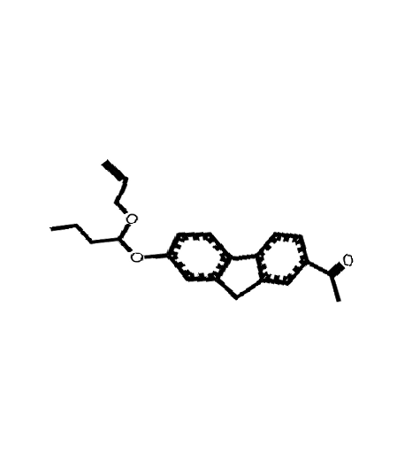 C=CCOC(CCC)Oc1ccc2c(c1)Cc1cc(C(C)=O)ccc1-2